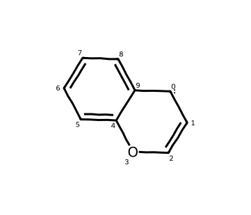 [C]1C=COc2ccccc21